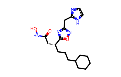 O=C(C[C@@H](CCCC1CCCCC1)c1nc(Cc2ncc[nH]2)no1)NO